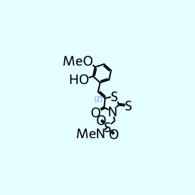 CNS(=O)(=O)CN1C(=O)/C(=C/c2cccc(OC)c2O)SC1=S